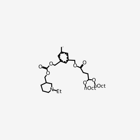 [CH2]c1cc(COC(=O)CCC(OCCCCCCCC)OCCCCCCCC)cc(COC(=O)OCC2CCCN(CC)C2)c1